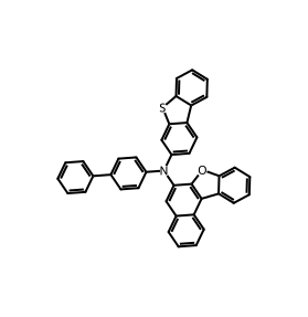 c1ccc(-c2ccc(N(c3ccc4c(c3)sc3ccccc34)c3cc4ccccc4c4c3oc3ccccc34)cc2)cc1